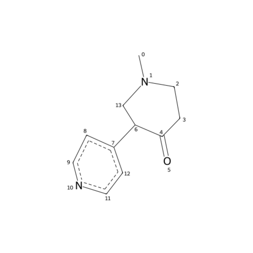 CN1CCC(=O)C(c2ccncc2)C1